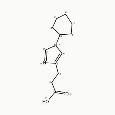 O=C(O)CCc1cn(C2CCCCC2)cn1